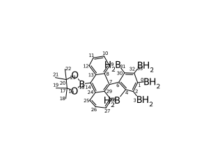 Bc1c(B)c(B)c(-c2c3ccccc3c(B3OC(C)(C)C(C)(C)O3)c3ccccc23)c(B)c1B